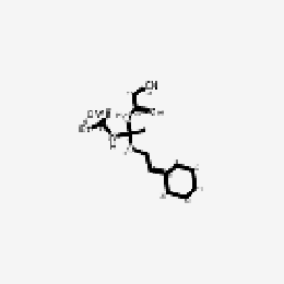 CCC(NC(C)(OCC=C1CCCCC1)OC(=O)CC#N)OC